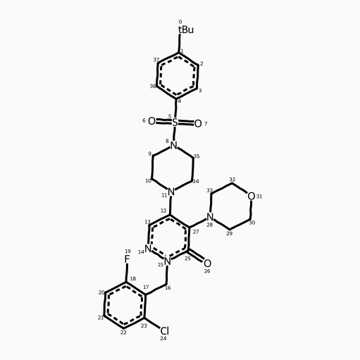 CC(C)(C)c1ccc(S(=O)(=O)N2CCN(c3cnn(Cc4c(F)cccc4Cl)c(=O)c3N3CCOCC3)CC2)cc1